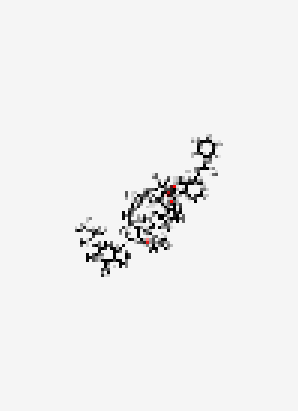 CC(C)C(=O)Nc1nc2c(ncn2[C@@H]2O[C@@H]3COP(=O)(S)O[C@@H]4[C@H](O[Si](C)(C)C(C)(C)C)[C@@H](COP(=O)(S)O[C@@H]2[C@@H]3O[Si](C)(C)C(C)(C)C)O[C@H]4n2cnc3c(NC(=O)c4ccccc4)ncnc32)c(=O)[nH]1